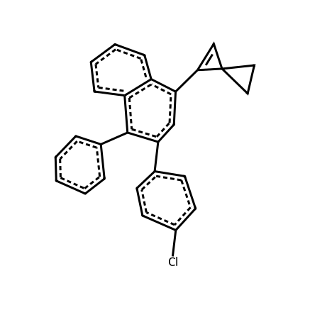 Clc1ccc(-c2cc(C3=CC34CC4)c3ccccc3c2-c2ccccc2)cc1